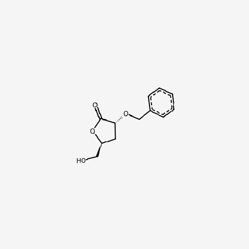 O=C1O[C@H](CO)C[C@H]1OCc1ccccc1